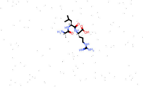 CC(C)C[C@H](NC(=O)[C@H](C)N)C(=O)N[C@@H](CCCNC(=N)N)C(=O)O